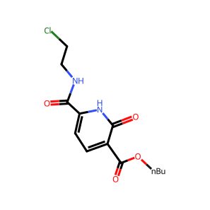 CCCCOC(=O)c1ccc(C(=O)NCCCl)[nH]c1=O